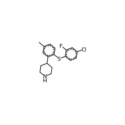 Cc1ccc(Sc2ccc(Cl)cc2F)c(C2CCNCC2)c1